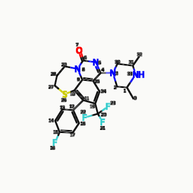 CC1CN(c2nc(=O)n3c4c(c(-c5ccc(F)cc5)c(C(F)(F)F)cc24)SCCC3)CC(C)N1